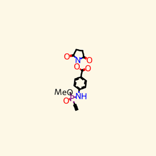 C#CP(=O)(Nc1ccc(C(=O)ON2C(=O)CCC2=O)cc1)OC